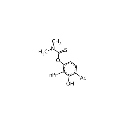 CCCc1c(OC(=S)N(C)C)ccc(C(C)=O)c1O